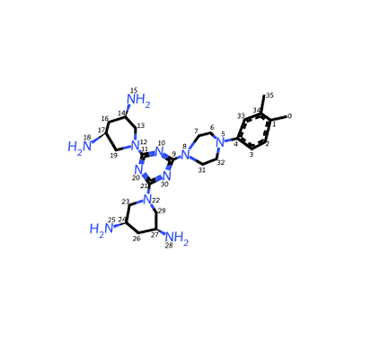 Cc1ccc(N2CCN(c3nc(N4C[C@H](N)C[C@H](N)C4)nc(N4C[C@H](N)C[C@H](N)C4)n3)CC2)cc1C